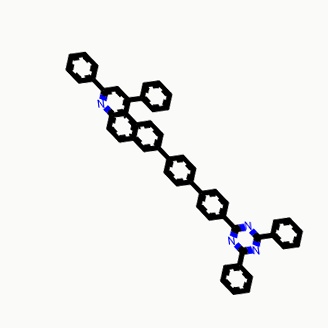 c1ccc(-c2cc(-c3ccccc3)c3c(ccc4cc(-c5ccc(-c6ccc(-c7nc(-c8ccccc8)nc(-c8ccccc8)n7)cc6)cc5)ccc43)n2)cc1